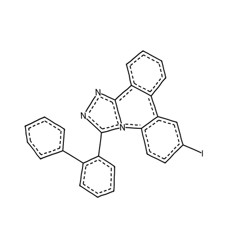 Ic1ccc2c(c1)c1ccccc1c1nnc(-c3ccccc3-c3ccccc3)n21